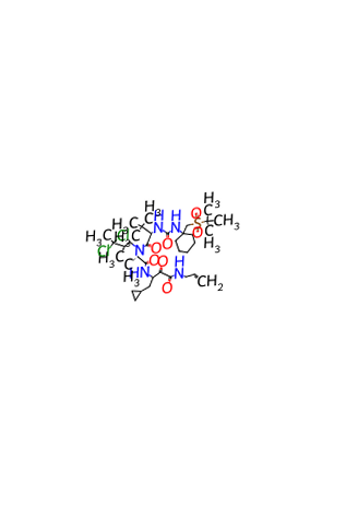 C=CCNC(=O)C(=O)C(CC1CC1)NC(=O)[C@H](C)N(C[C@@H](C)C(C)(Cl)Cl)C(=O)[C@@H](NC(=O)NC1(CS(=O)(=O)C(C)(C)C)CCCCC1)C(C)(C)C